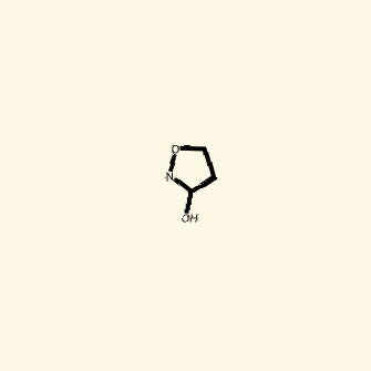 OC1CCO[N]1